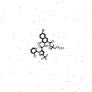 CC(C)(COO)NC(=O)c1cc2cc(Br)ccc2c(Cl)c1NC(=O)c1cc(C(F)(F)F)nn1-c1ncccc1Cl